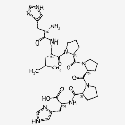 CC(C)C[C@H](NC(=O)[C@@H](N)Cc1c[nH]cn1)C(=O)N1CCC[C@H]1C(=O)N1CCC[C@H]1C(=O)N1CCC[C@H]1C(=O)N[C@@H](Cc1c[nH]cn1)C(=O)O